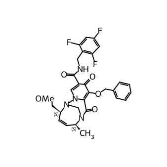 COC[C@@H]1C=C[C@H](C)N2CN1n1cc(C(=O)NCc3c(F)cc(F)cc3F)c(=O)c(OCc3ccccc3)c1C2=O